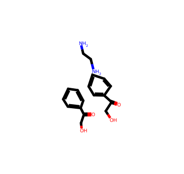 NCCN.O=C(CO)c1ccccc1.O=C(CO)c1ccccc1